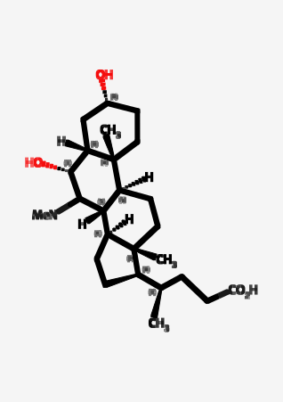 CNC1[C@@H]2[C@H](CC[C@]3(C)[C@@H]([C@H](C)CCC(=O)O)CC[C@@H]23)[C@@]2(C)CC[C@@H](O)C[C@H]2[C@H]1O